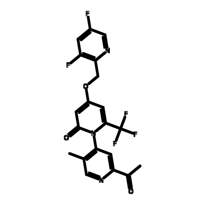 CC(=O)c1cc(-n2c(C(F)(F)F)cc(OCc3ncc(F)cc3F)cc2=O)c(C)cn1